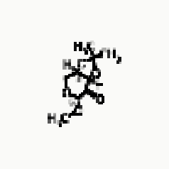 CO[C@H]1OC[C@@H]2OC(C)(C)O[C@@H]2C1=O